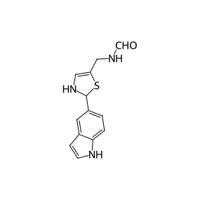 O=CNCC1=CNC(c2ccc3[nH]ccc3c2)S1